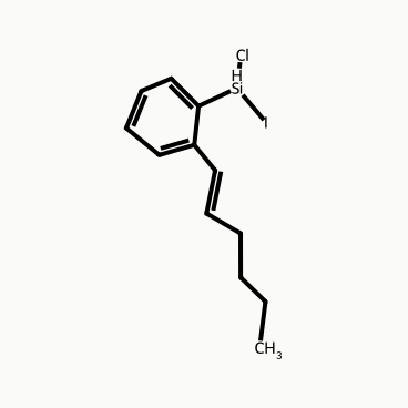 CCCCC=Cc1ccccc1[SiH](Cl)I